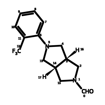 O=CN1C[C@@H]2CN(c3ccccc3C(F)(F)F)C[C@@H]2C1